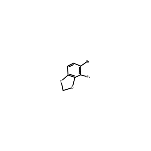 CCc1c(Br)ccc2c1OCO2